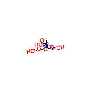 CC(C)[C@H](N)C(=O)O.OCCOCCOCCOCCO